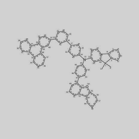 CC1(C)c2ccccc2-c2ccc(N(c3ccc(-c4cccc(-c5ccc6c7ccccc7c7ccccc7c6c5)c4)cc3)c3ccc(-c4cccc5c4oc4ccccc45)cc3)cc21